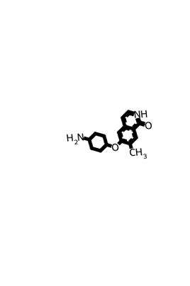 Cc1cc2c(=O)[nH]ccc2cc1OC1CCC(N)CC1